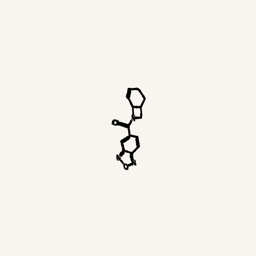 O=C(c1ccc2nonc2c1)N1CC2CCC=CC21